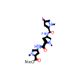 COC(=O)c1cc(NC(=O)c2cc(NC(=O)c3cc(I)cn3C)cn2C)cn1C